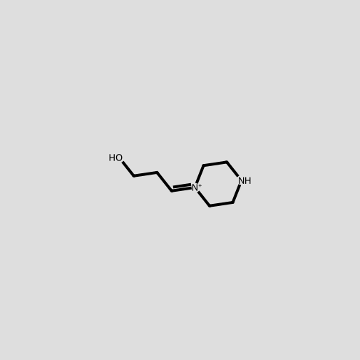 OCCC=[N+]1CCNCC1